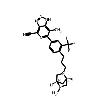 Cc1c(-c2ccc(CCCN3C[C@@H]4C[C@H]3CN4C)c(C(F)(F)F)c2)nc(C#N)c2nn[nH]c12